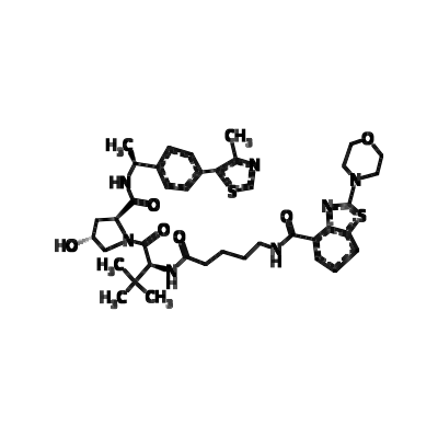 Cc1ncsc1-c1ccc([C@H](C)NC(=O)[C@@H]2C[C@@H](O)CN2C(=O)[C@@H](NC(=O)CCCCNC(=O)c2cccc3sc(N4CCOCC4)nc23)C(C)(C)C)cc1